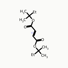 CCC(C)(C)OC(=O)/C=C/C(=O)OC(C)(C)CC